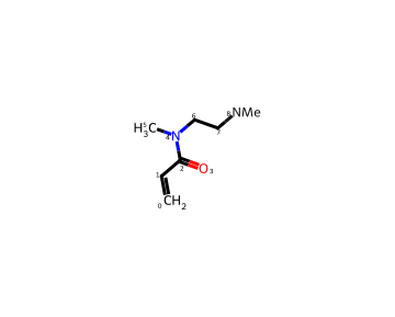 C=CC(=O)N(C)CCNC